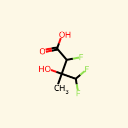 CC(O)(C(F)F)C(F)C(=O)O